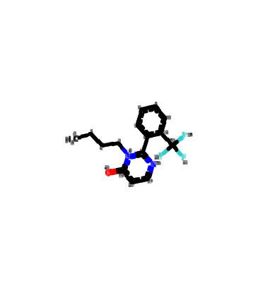 CCCCn1c(-c2ccccc2C(F)(F)F)nccc1=O